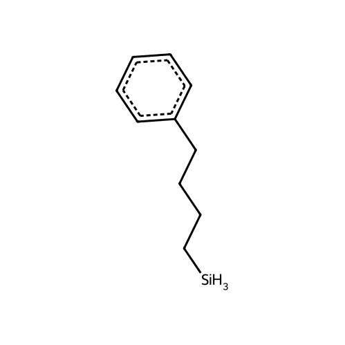 [SiH3]CCCCc1ccccc1